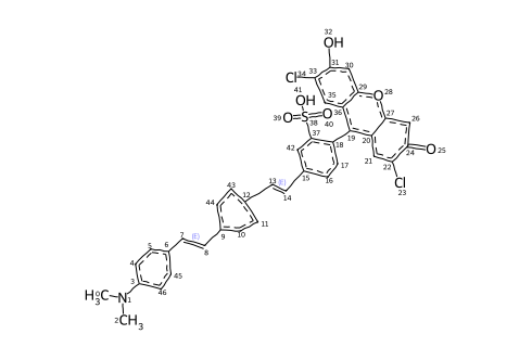 CN(C)c1ccc(/C=C/c2ccc(/C=C/c3ccc(-c4c5cc(Cl)c(=O)cc-5oc5cc(O)c(Cl)cc45)c(S(=O)(=O)O)c3)cc2)cc1